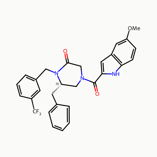 COc1ccc2[nH]c(C(=O)N3CC(=O)N(Cc4cccc(C(F)(F)F)c4)[C@@H](Cc4ccccc4)C3)cc2c1